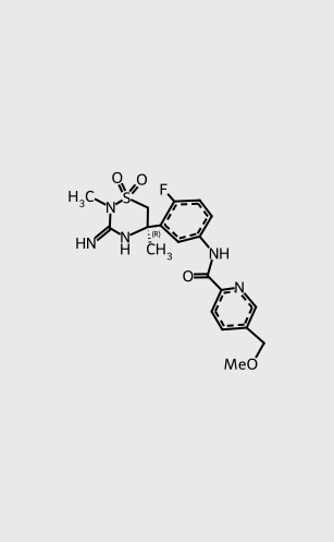 COCc1ccc(C(=O)Nc2ccc(F)c([C@]3(C)CS(=O)(=O)N(C)C(=N)N3)c2)nc1